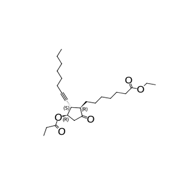 CCCCCCC#C[C@H]1[C@H](OC(=O)CC)CC(=O)[C@@H]1CCCCCCC(=O)OCC